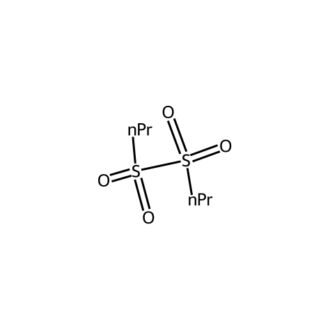 CCCS(=O)(=O)S(=O)(=O)CCC